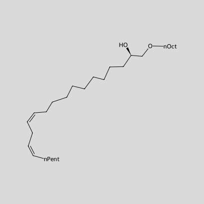 CCCCC/C=C\C/C=C\CCCCCCCCC[C@@H](O)COCCCCCCCC